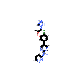 C[C@@H](Cn1cnnn1)Oc1cc(-c2cnc(Nc3cccnn3)nc2)ccc1Cl